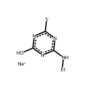 CCNc1nc(O)nc([S-])n1.[Na+]